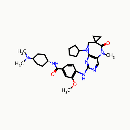 COc1cc(C(=O)N[C@H]2CC[C@H](N(C)C)CC2)ccc1Nc1ncc2c(n1)N(C1CCCC1)CC1(CC1)C(=O)N2C